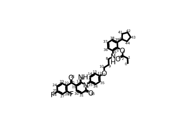 CCC(=O)Oc1c(NCCCOc2ccc(-n3c(N)c(C(=O)c4ccc(F)cc4F)ccc3=O)cc2)cccc1C1CCCC1